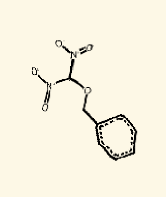 O=[N+]([O-])[C](OCc1ccccc1)[N+](=O)[O-]